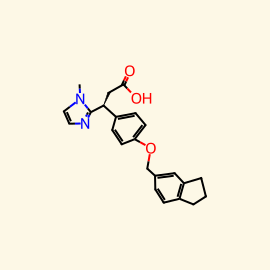 Cn1ccnc1[C@@H](CC(=O)O)c1ccc(OCc2ccc3c(c2)CCC3)cc1